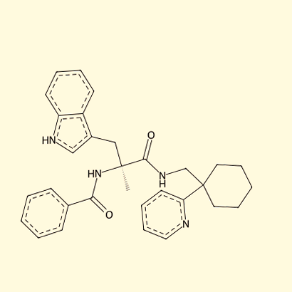 C[C@@](Cc1c[nH]c2ccccc12)(NC(=O)c1ccccc1)C(=O)NCC1(c2ccccn2)CCCCC1